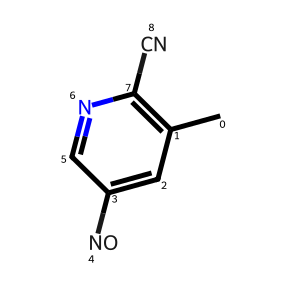 Cc1cc(N=O)cnc1C#N